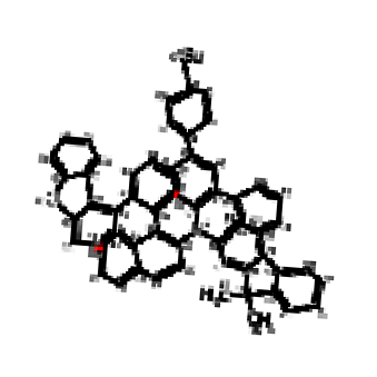 CC(C)(C)c1ccc(-c2ccc(N(c3ccc4c(c3)C(C)(C)c3ccccc3-4)c3ccc4ccccc4c3-c3ccccc3-c3cccc4oc5ccccc5c34)c(-c3ccccc3)c2)cc1